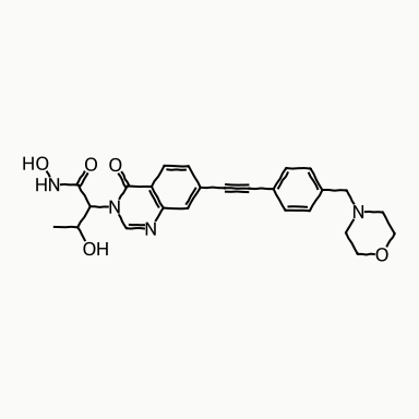 CC(O)C(C(=O)NO)n1cnc2cc(C#Cc3ccc(CN4CCOCC4)cc3)ccc2c1=O